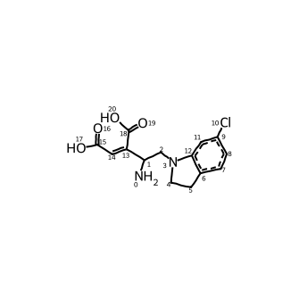 NC(CN1CCc2ccc(Cl)cc21)/C(=C/C(=O)O)C(=O)O